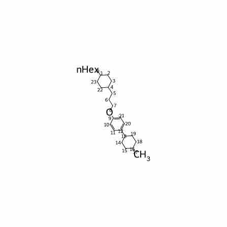 CCCCCCC1CCC(CCCOc2ccc(C3CCC(C)CC3)cc2)CC1